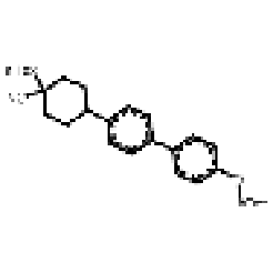 CCCCCCCCOc1ccc(-c2ccc(C3CCC(C#N)(CCCCCC)CC3)cc2)cc1